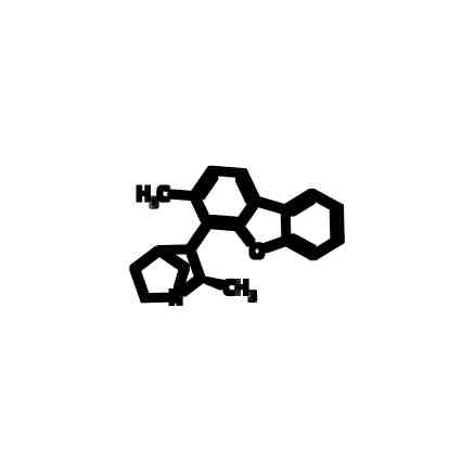 Cc1ccc2c(oc3ccccc32)c1C1C2CCN(C2)[C@@H]1C